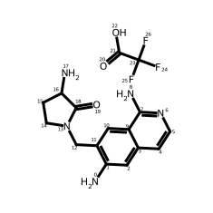 Nc1cc2ccnc(N)c2cc1CN1CCC(N)C1=O.O=C(O)C(F)(F)F